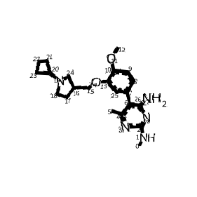 CNc1nc(C)c(-c2ccc(OC)c(OCC3CCN(C4CCC4)C3)c2)c(N)n1